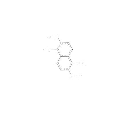 O=C(O)c1ccc2c(C(F)(F)F)c(C(=O)O)ccc2c1C(F)(F)F